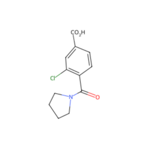 O=C(O)c1ccc(C(=O)N2CCCC2)c(Cl)c1